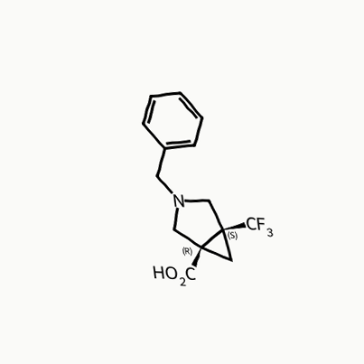 O=C(O)[C@@]12CN(Cc3ccccc3)C[C@]1(C(F)(F)F)C2